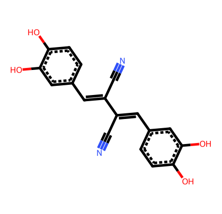 N#CC(=C\c1ccc(O)c(O)c1)/C(C#N)=C/c1ccc(O)c(O)c1